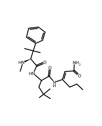 CCCC(=CC(N)=O)NC(=O)C(CC(C)(C)C)NC(=O)[C@@H](NC)C(C)(C)c1ccccc1